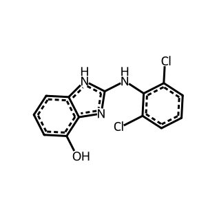 Oc1cccc2[nH]c(Nc3c(Cl)cccc3Cl)nc12